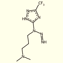 CN(C)CCCN(N=N)c1nc(C(F)(F)F)n[nH]1